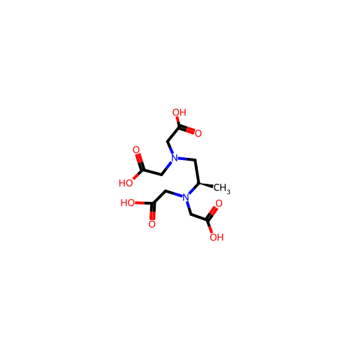 C[C@H](CN(CC(=O)O)CC(=O)O)N(CC(=O)O)CC(=O)O